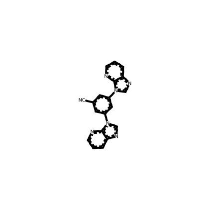 N#Cc1cc(-n2cnc3cccnc32)cc(-n2cnc3cccnc32)c1